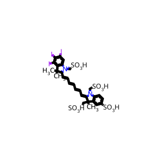 CC1(C)C(/C=C/C=C/C=C/C=C2\N(CS(=O)(=O)O)c3ccc(S(=O)(=O)O)cc3C2(C)CS(=O)(=O)O)=[N+](CS(=O)(=O)O)c2cc(I)c(I)c(I)c21